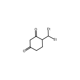 CCC(CC)C1CCC(=O)CC1=O